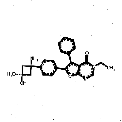 CCn1cnc2oc(-c3ccc([C@]4(N)C[C@@](C)(O)C4)cc3)c(-c3ccccc3)c2c1=O